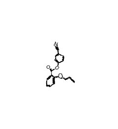 C=CCOc1ccccc1C(=O)Oc1ccc(C#N)cc1